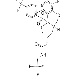 O=C(C[C@@H]1CC[C@@]2(S(=O)(=O)c3ccc(C(F)(F)F)cc3)c3c(F)ccc(F)c3OC[C@H]2C1)NCC(F)(F)F